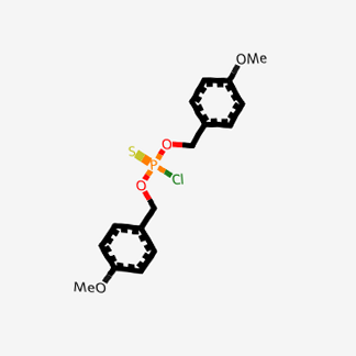 COc1ccc(COP(=S)(Cl)OCc2ccc(OC)cc2)cc1